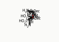 CCCCCCCCCCN(CC(=O)N(CC(=O)N(CCCCCCCCCC)CC(=O)N(CC(N)=O)CC(CC)CCCC)CC(CC)CCCC)C(=O)CN(CCC(=O)O)C(=O)CN(CCC(=O)O)C(=O)CNCCN